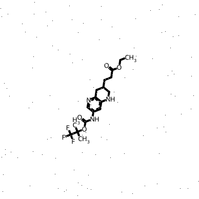 CCOC(=O)CCC1CNc2cc(NC(=O)OC(C)(C)C(F)(F)F)cnc2C1